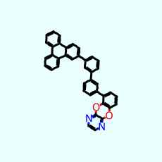 c1cc(-c2cccc(-c3cccc4c3Oc3nccnc3O4)c2)cc(-c2ccc3c4ccccc4c4ccccc4c3c2)c1